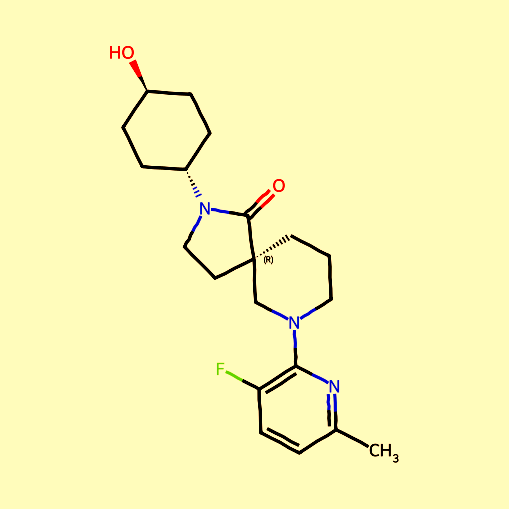 Cc1ccc(F)c(N2CCC[C@@]3(CCN([C@H]4CC[C@H](O)CC4)C3=O)C2)n1